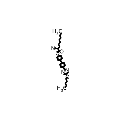 CCCCCCCCC(C#N)C(=O)Oc1ccc(-c2ccc(-c3ncc(OCCCCC)cn3)cc2)cc1